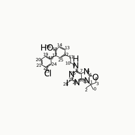 CC1(C)COc2nc3c(NCCc4ccc(O)c(-c5cccc(Cl)c5)c4)nc(I)nc3n21